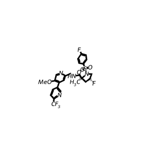 COc1cnc(CNC(=O)[C@@]2(C)C[C@@H](F)CN2S(=O)(=O)c2ccc(F)cc2)cc1-c1ccc(C(F)(F)F)nc1